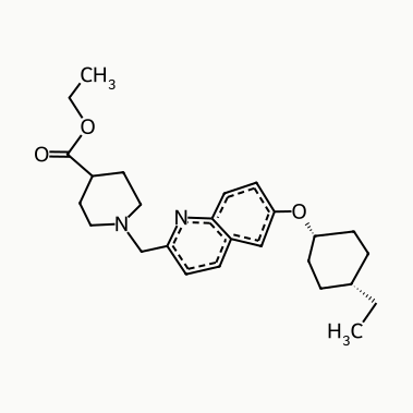 CCOC(=O)C1CCN(Cc2ccc3cc(O[C@H]4CC[C@@H](CC)CC4)ccc3n2)CC1